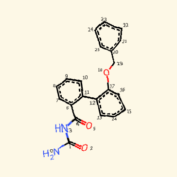 NC(=O)NC(=O)c1ccccc1-c1ccccc1OCc1ccccc1